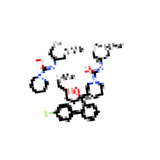 CNC[C@H](CC(C)C)NC(=O)N1CCCCC1.CNC[C@H](CC(C)C)NC(=O)N1CCC[C@@H]([C@@](O)(CCCCOC)c2ccccc2-c2ccc(F)cc2)C1